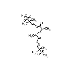 CN(SSN(C)C(=O)ON=CC(C)(C)S(C)(=O)=O)C(=O)ON=CC(C)(C)S(C)(=O)=O